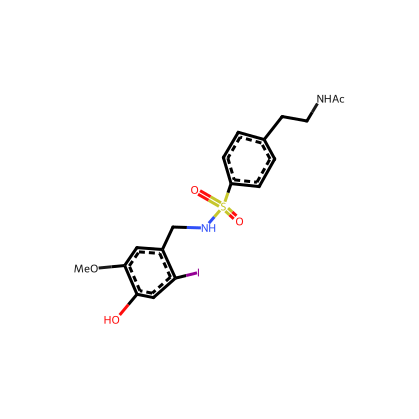 COc1cc(CNS(=O)(=O)c2ccc(CCNC(C)=O)cc2)c(I)cc1O